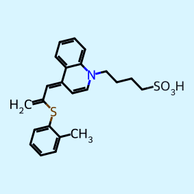 C=C(/C=C1\C=CN(CCCCS(=O)(=O)O)c2ccccc21)Sc1ccccc1C